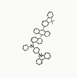 CC1(C)c2ccccc2-c2ccc(-c3c4ccccc4c(-c4cccc5c(N(c6ccccc6)c6ccc(-n7c8ccccc8c8ccccc87)cc6)cccc45)c4ccccc34)cc21